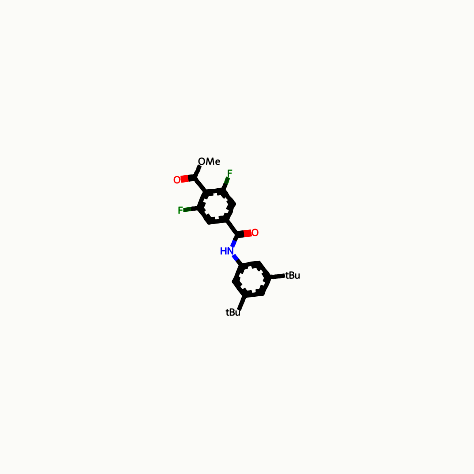 COC(=O)c1c(F)cc(C(=O)Nc2cc(C(C)(C)C)cc(C(C)(C)C)c2)cc1F